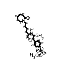 CCC(CCCCN1CCCCCC1=O)NC(C)Cc1ccc(OS(=O)(=O)CC)cc1